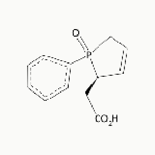 O=C(O)C[C@@H]1C=CCP1(=O)c1ccccc1